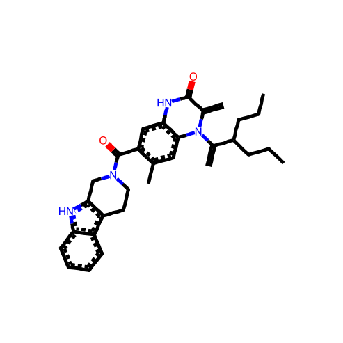 C=C1C(=O)Nc2cc(C(=O)N3CCc4c([nH]c5ccccc45)C3)c(C)cc2N1C(=C)C(CCC)CCC